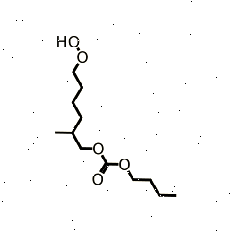 CCCCOC(=O)OCC(C)CCCCOO